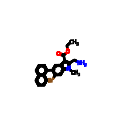 CCOC(=O)c1c(CN)n(C)c2cc(Br)c(-c3cccc4ccccc34)cc12